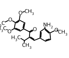 COc1ccc(C=C(C(=O)c2cc(OC)c(OC)c(OC)c2)C(C)C)cc1N